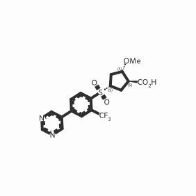 CO[C@H]1C[C@@H](S(=O)(=O)c2ccc(-c3cncnc3)cc2C(F)(F)F)C[C@@H]1C(=O)O